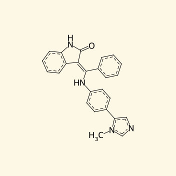 Cn1cncc1-c1ccc(NC(=C2C(=O)Nc3ccccc32)c2ccccc2)cc1